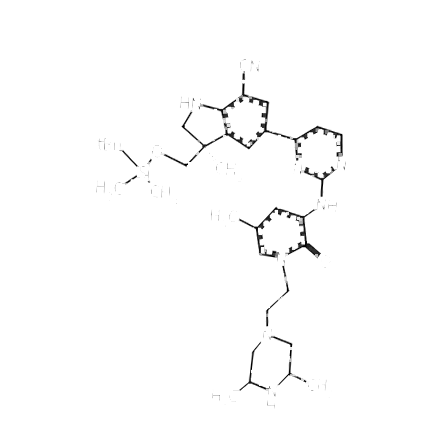 Cc1cc(Nc2nccc(-c3cc(C#N)c4c(c3)[C@@](C)(CO[Si](C)(C)C(C)(C)C)CN4)n2)c(=O)n(CCN2CC(C)NC(C)C2)c1